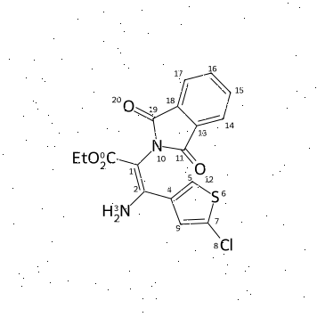 CCOC(=O)/C(=C(\N)c1csc(Cl)c1)N1C(=O)c2ccccc2C1=O